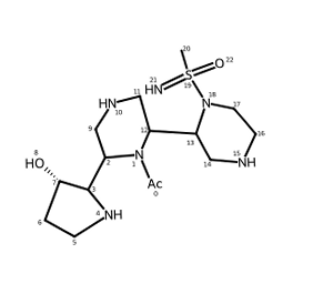 CC(=O)N1C(C2NCC[C@@H]2O)CNCC1C1CNCCN1S(C)(=N)=O